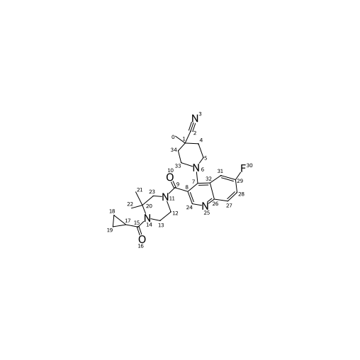 CC1(C#N)CCN(c2c(C(=O)N3CCN(C(=O)C4CC4)C(C)(C)C3)cnc3ccc(F)cc23)CC1